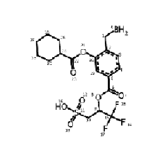 BCc1ccc(C(=O)OC(CS(=O)(=O)O)C(F)(F)F)cc1OC(=O)C1CCCCC1